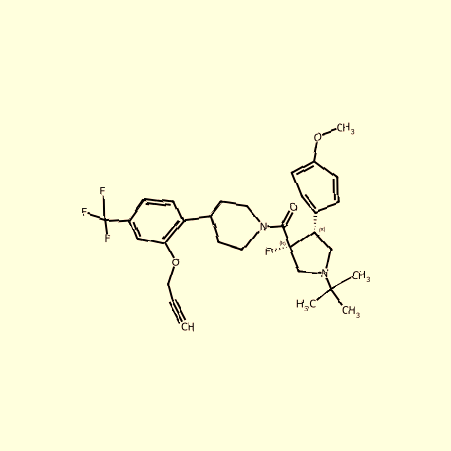 C#CCOc1cc(C(F)(F)F)ccc1C1CCN(C(=O)[C@]2(F)CN(C(C)(C)C)C[C@H]2c2ccc(OC)cc2)CC1